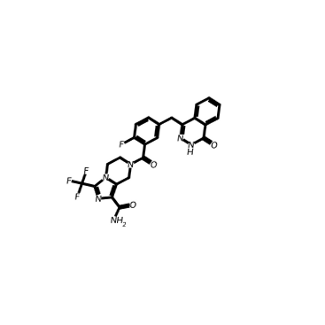 NC(=O)c1nc(C(F)(F)F)n2c1CN(C(=O)c1cc(Cc3n[nH]c(=O)c4ccccc34)ccc1F)CC2